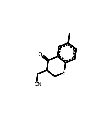 Cc1ccc2c(c1)C(=O)C(CC#N)CS2